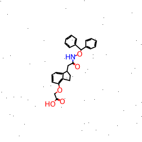 O=C(O)COc1cccc2c1CCC2CC(=O)NOC(c1ccccc1)c1ccccc1